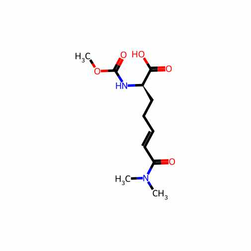 COC(=O)N[C@H](CC/C=C/C(=O)N(C)C)C(=O)O